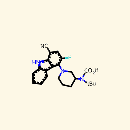 CC(C)(C)N(C(=O)O)C1CCCN(c2c(F)cc(C#N)c3[nH]c4ccccc4c23)C1